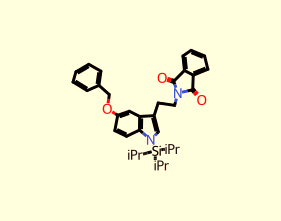 CC(C)[Si](C(C)C)(C(C)C)n1cc(CCN2C(=O)c3ccccc3C2=O)c2cc(OCc3ccccc3)ccc21